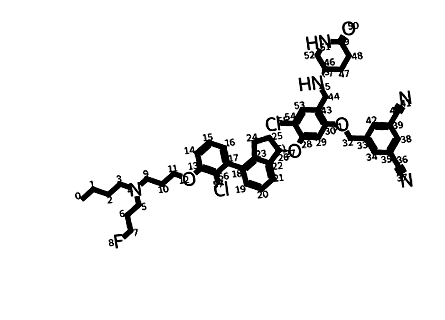 CCCCN(CCCF)CCCOc1cccc(-c2cccc3c2CC[C@@H]3Oc2cc(OCc3cc(C#N)cc(C#N)c3)c(CN[C@H]3CCC(=O)NC3)cc2Cl)c1Cl